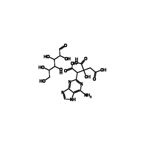 Nc1nc(C(C(=O)O)C(O)(CC(=O)O)C(=O)O)nc2nc[nH]c12.O=CC(O)C(O)C(O)C(O)CO